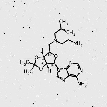 CC(C)CN(CCN)C[C@H]1O[C@@H](n2cnc3c(N)ncnc32)[C@@H]2OC(C)(C)O[C@@H]21